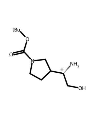 CC(C)(C)OC(=O)N1CCC([C@H](N)CO)C1